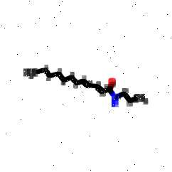 CCCCCCC/C=C/C=C/C(=O)NCCC